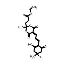 CCOC(=O)CCC1(C)OC(=O)C(=C/C=C/C2=C(O)CC(C)(C)CC2=O)C(=O)O1